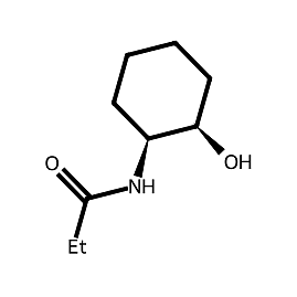 CCC(=O)N[C@H]1CCCC[C@H]1O